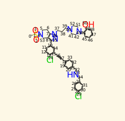 CS(=O)(=O)N1CCc2c(c(-c3ccc(Cl)c(C#Cc4ccc(CNCc5ccc(Cl)cc5)cc4)c3)nn2CCCN2CCN(c3ccccc3O)CC2)C1